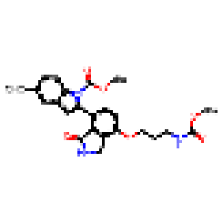 CC(C)(C)OC(=O)NCCCOc1ccc(-c2cc3cc(C=O)ccc3n2C(=O)OC(C)(C)C)c2c1CNC2=O